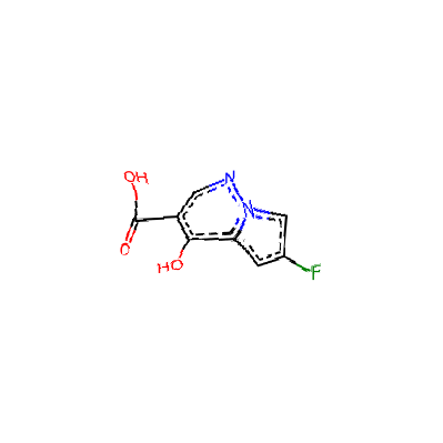 O=C(O)c1cnn2cc(F)cc2c1O